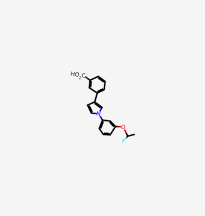 CC(F)Oc1cccc(-n2ccc(-c3cccc(C(=O)O)c3)c2)c1